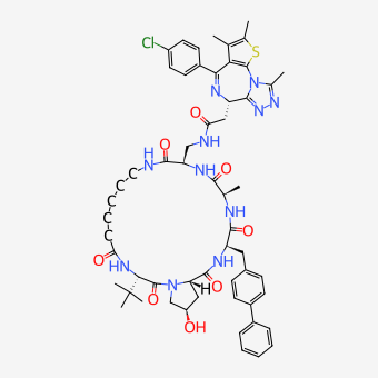 Cc1sc2c(c1C)C(c1ccc(Cl)cc1)=N[C@@H](CC(=O)NC[C@H]1NC(=O)[C@@H](C)NC(=O)[C@@H](Cc3ccc(-c4ccccc4)cc3)NC(=O)[C@@H]3C[C@@H](O)CN3C(=O)[C@H](C(C)(C)C)NC(=O)CCCCCNC1=O)c1nnc(C)n1-2